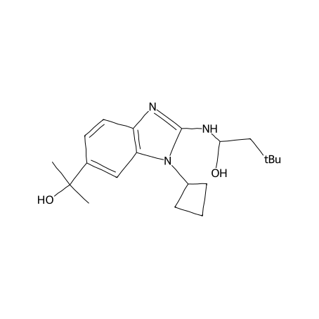 CC(C)(C)CC(O)Nc1nc2ccc(C(C)(C)O)cc2n1C1CCC1